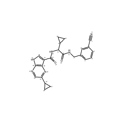 N#Cc1cccc(CNC(=O)C(NC(=O)c2c[nH]c3ncc(C4CC4)nc23)C2CC2)c1